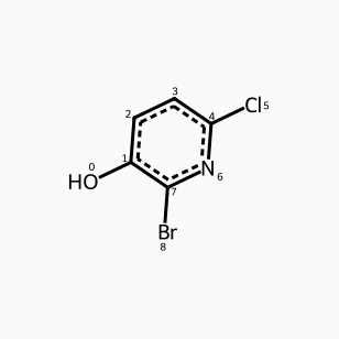 Oc1ccc(Cl)nc1Br